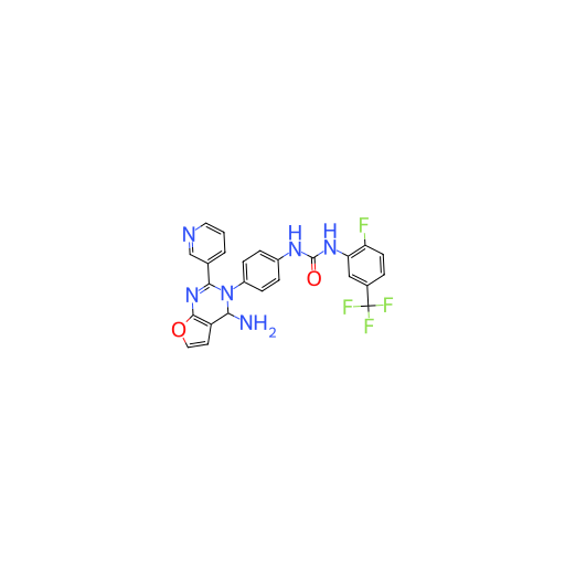 NC1c2ccoc2N=C(c2cccnc2)N1c1ccc(NC(=O)Nc2cc(C(F)(F)F)ccc2F)cc1